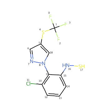 FC(F)(F)Sc1cnn(-c2c(Cl)cccc2NS)c1